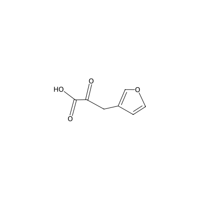 O=C(O)C(=O)Cc1ccoc1